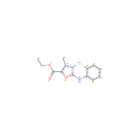 CCOC(=O)c1oc(Nc2ccccc2F)nc1C